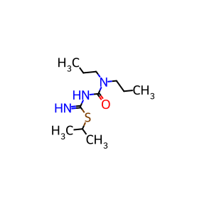 CCCN(CCC)C(=O)NC(=N)SC(C)C